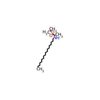 CCCCCCCCCCCCCCCCCCN[C@@H](C)C(=O)OC(C)C